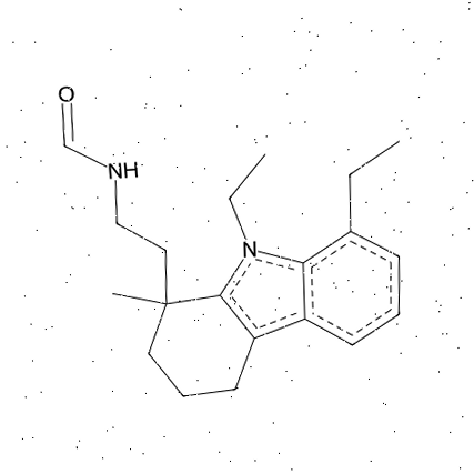 CCc1cccc2c3c(n(CC)c12)C(C)(CCNC=O)CCC3